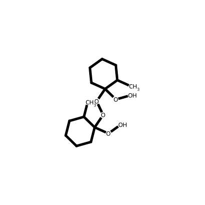 CC1CCCCC1(OO)OOC1(OO)CCCCC1C